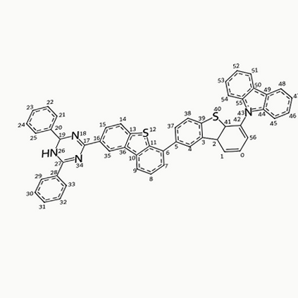 C1=CC2c3cc(-c4cccc5c4sc4ccc(C6=NC(c7ccccc7)NC(c7ccccc7)=N6)cc45)ccc3SC2C(n2c3ccccc3c3ccccc32)=C1